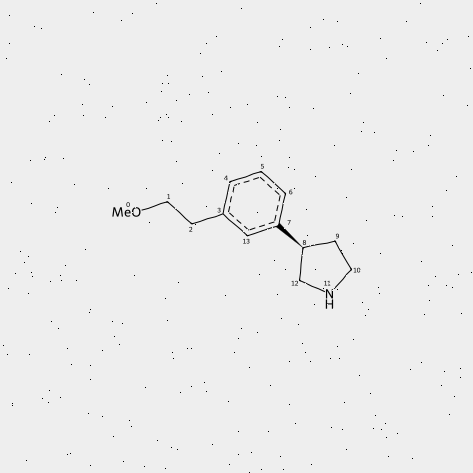 COCCc1cccc([C@H]2CCNC2)c1